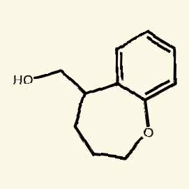 OCC1CCCOc2ccccc21